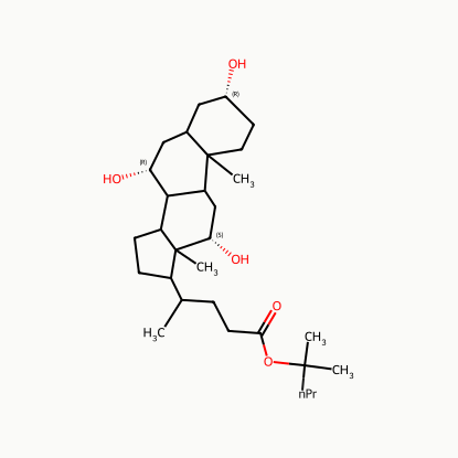 CCCC(C)(C)OC(=O)CCC(C)C1CCC2C3C(C[C@H](O)C12C)C1(C)CC[C@@H](O)CC1C[C@H]3O